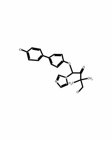 CC(C)(CCl)C(=O)C(Oc1ccc(-c2ccc(Cl)cc2)cc1)n1ccnc1